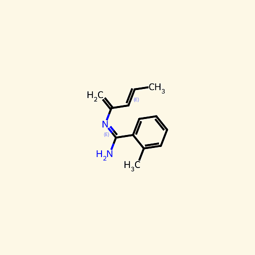 C=C(/C=C/C)/N=C(/N)c1ccccc1C